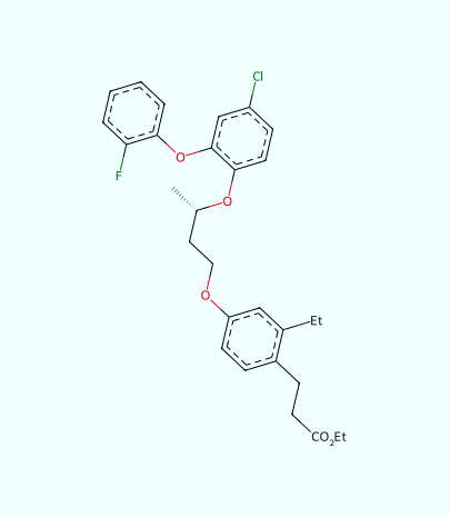 CCOC(=O)CCc1ccc(OCC[C@H](C)Oc2ccc(Cl)cc2Oc2ccccc2F)cc1CC